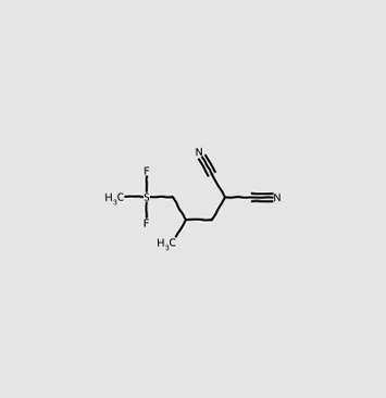 CC(CC(C#N)C#N)CS(C)(F)F